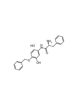 Cl.N[C@@H](Cc1ccccc1)C(=O)Nc1ccc(SCc2ccccc2)c(O)c1